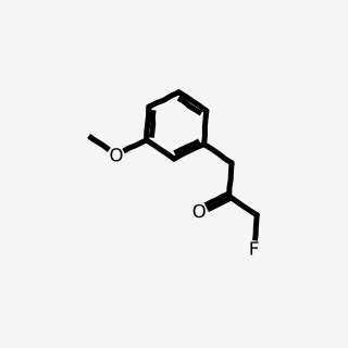 COc1cccc(CC(=O)CF)c1